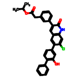 CC(C)OC(=O)Cc1cccc(-c2cc3cc(-c4ccc(-c5ccccc5)c(O)c4)c(Cl)cc3[nH]c2=O)c1